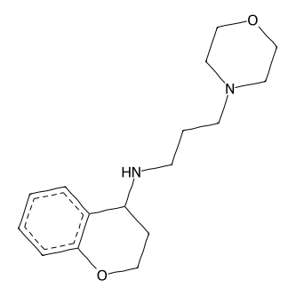 c1ccc2c(c1)OCCC2NCCCN1CCOCC1